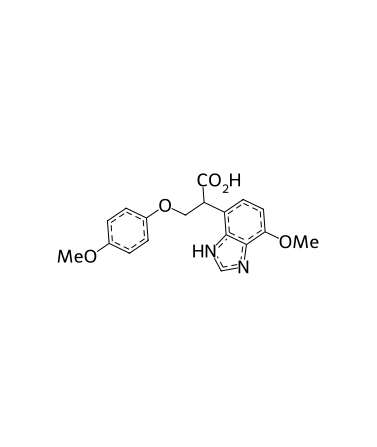 COc1ccc(OCC(C(=O)O)c2ccc(OC)c3nc[nH]c23)cc1